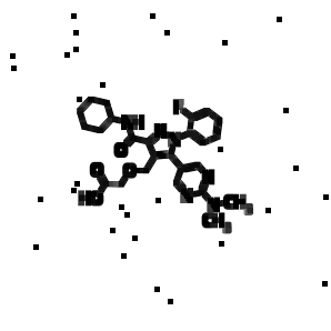 CN(C)c1ncc(-c2c(COCC(=O)O)c(C(=O)NC3CCCCC3)nn2-c2ccccc2F)cn1